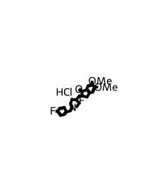 COc1cc2c(cc1OC)C(=O)C(F)(CC1CCN(Cc3ccc(F)cc3)CC1)C2.Cl